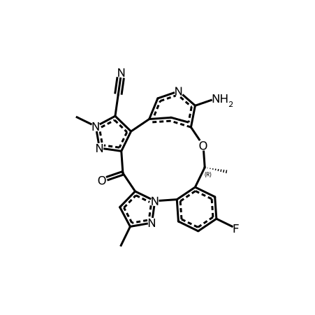 Cc1cc2n(n1)-c1ccc(F)cc1[C@@H](C)Oc1cc(cnc1N)-c1c(nn(C)c1C#N)C2=O